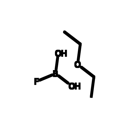 CCOCC.OB(O)F